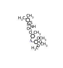 COc1cc(/C=C\c2ccc(C)c(OCC(=O)Nc3nc4cc(C)c(C)cc4s3)c2)cc(OC)c1OC